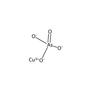 O=[As]([O-])([O-])[O-].[Cu+3]